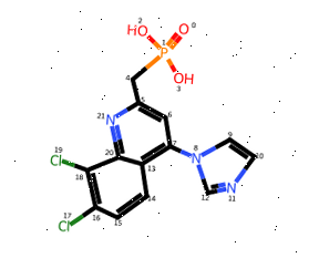 O=P(O)(O)Cc1cc(-n2ccnc2)c2ccc(Cl)c(Cl)c2n1